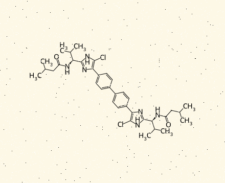 CC(C)CC(=O)N[C@H](c1nc(-c2ccc(-c3ccc(-c4nc([C@@H](NC(=O)CC(C)C)C(C)C)[nH]c4Cl)cc3)cc2)c(Cl)[nH]1)C(C)C